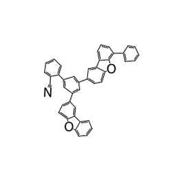 N#Cc1ccccc1-c1cc(-c2ccc3oc4ccccc4c3c2)cc(-c2ccc3oc4c(-c5ccccc5)cccc4c3c2)c1